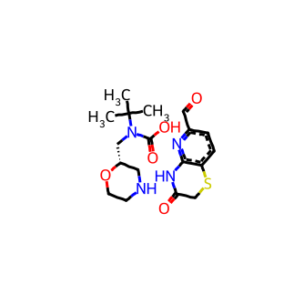 CC(C)(C)N(C[C@@H]1CNCCO1)C(=O)O.O=Cc1ccc2c(n1)NC(=O)CS2